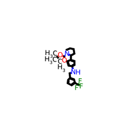 CC(C)(C)OC(=O)N1CCCCC1c1ccc(NCc2cccc(C(F)(F)F)c2)cc1